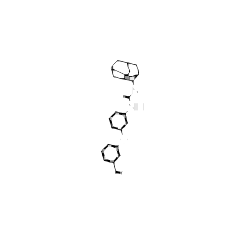 O=C(Nc1cccc(Oc2cccc(C(=O)O)c2)c1)NC1C2CC3CC(C2)CC1C3